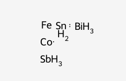 [BiH3].[Co].[Fe].[SbH3].[SnH2]